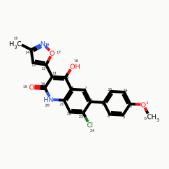 COc1ccc(-c2cc3c(O)c(-c4cc(C)no4)c(=O)[nH]c3cc2Cl)cc1